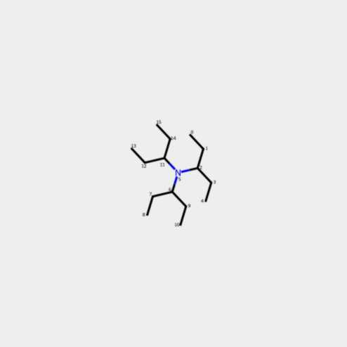 CCC(CC)N(C(CC)CC)C(CC)CC